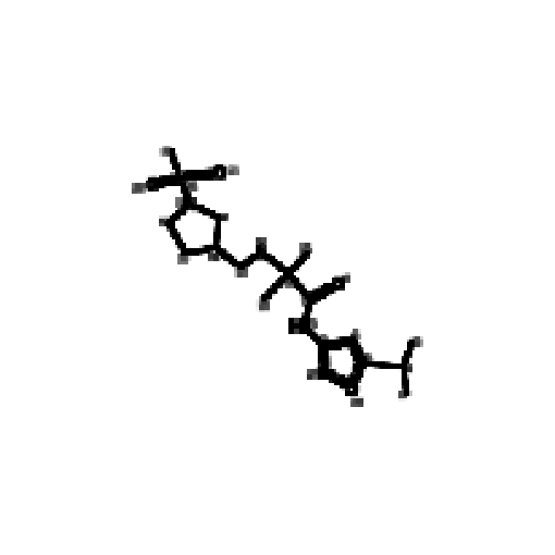 CC(C)c1cc(NC(=O)C(C)(C)SCC2CCN(S(C)(=O)=O)C2)no1